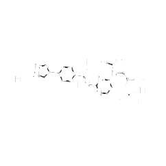 C[C@H](Nc1nccc(N2C(=O)OC[C@@H]2[C@@H](C)OC(C)(C)C)n1)c1ccc(-c2cnn(C)c2)cc1F